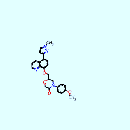 COc1ccc(N2CC(COc3ccc(-c4ccn(C)n4)c4cccnc34)OCC2=O)cc1